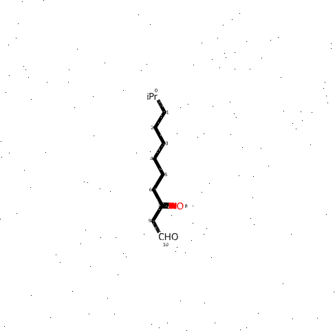 CC(C)CCCCCCC(=O)CC=O